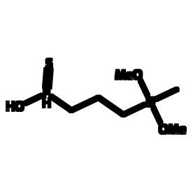 CO[Si](C)(CCC[PH](O)=S)OC